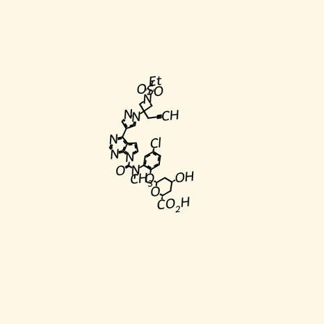 C#CCC1(n2cc(-c3ncnc4c3ccn4C(=O)N(C)c3cc(Cl)ccc3O[C@H]3C[C@@H](O)C[C@@H](C(=O)O)O3)cn2)CN(S(=O)(=O)CC)C1